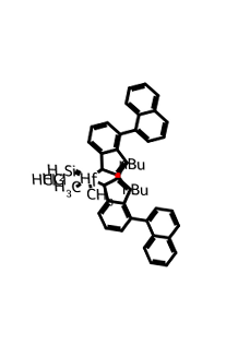 CCCCC1=Cc2c(-c3cccc4ccccc34)cccc2[CH]1[Hf]([CH3])([CH3])(=[SiH2])[CH]1C(CCCC)=Cc2c(-c3cccc4ccccc34)cccc21.Cl.Cl